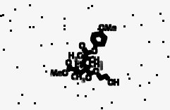 CCC(C)(CC(C)(CC(C)(C)C(=O)Oc1ccc(OC)cc1)C(=O)OCCO)C(=O)OC